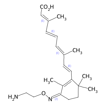 CC1=C(/C=C/C(C)=C/C=C/C(C)=C/C(=O)O)C(C)(C)CC/C1=N/OCCN